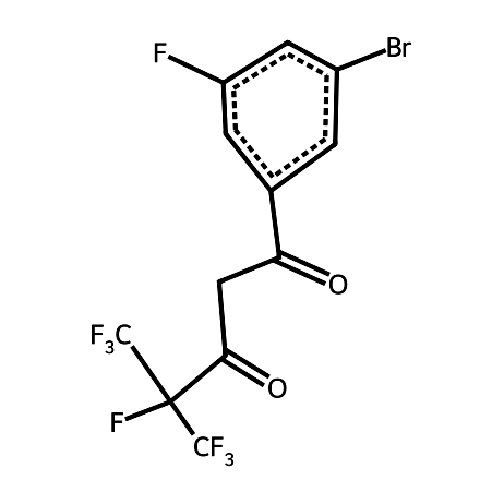 O=C(CC(=O)C(F)(C(F)(F)F)C(F)(F)F)c1cc(F)cc(Br)c1